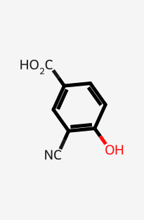 N#Cc1cc(C(=O)O)ccc1O